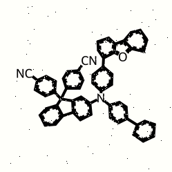 N#Cc1ccc(C2(c3ccc(C#N)cc3)c3ccccc3-c3ccc(N(c4ccc(-c5ccccc5)cc4)c4ccc(-c5cccc6c5oc5ccccc56)cc4)cc32)cc1